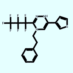 FC(F)(F)C(F)(F)C(F)(F)C1=NNC(c2ccsc2)=CN1CCc1ccccc1